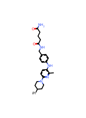 Cc1nc(N2CCC(C(C)C)CC2)ccc1Nc1ccc(CNC(=O)CCCC(N)=O)cc1